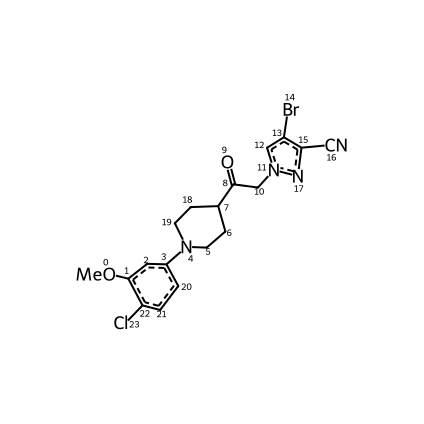 COc1cc(N2CCC(C(=O)Cn3cc(Br)c(C#N)n3)CC2)ccc1Cl